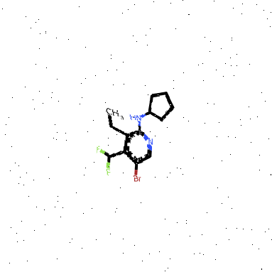 CCc1c(NC2CCCC2)ncc(Br)c1C(F)F